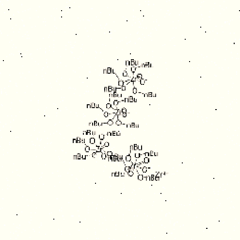 CCCC[O][Zr](=[O])([O-])([O]CCCC)([O]CCCC)([O]CCCC)[O]CCCC.CCCC[O][Zr](=[O])([O-])([O]CCCC)([O]CCCC)([O]CCCC)[O]CCCC.CCCC[O][Zr](=[O])([O-])([O]CCCC)([O]CCCC)([O]CCCC)[O]CCCC.CCCC[O][Zr](=[O])([O-])([O]CCCC)([O]CCCC)([O]CCCC)[O]CCCC.[Zr+4]